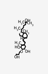 CC1=C(/C=C/C2=CCC[C@]3(C)[C@@H]([C@H](C)CCCC(C)(C)O)CC[C@@H]23)C[C@@H](O)[C@@H](OCCCO)[C@@H]1O